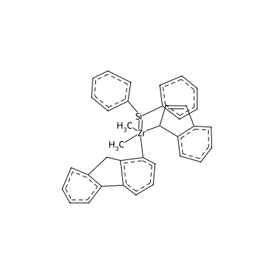 [CH3][Zr]([CH3])([c]1cccc2c1Cc1ccccc1-2)([CH]1C=Cc2ccccc21)=[Si](c1ccccc1)c1ccccc1